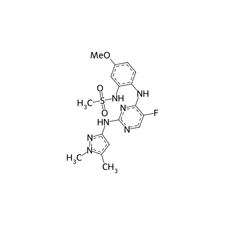 COc1ccc(Nc2nc(Nc3cc(C)n(C)n3)ncc2F)c(NS(C)(=O)=O)c1